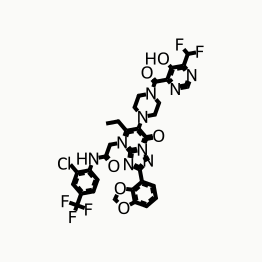 CCc1c(N2CCN(C(=O)c3ncnc(C(F)F)c3O)CC2)c(=O)n2nc(-c3cccc4c3OCO4)nc2n1CC(=O)Nc1ccc(C(F)(F)F)cc1Cl